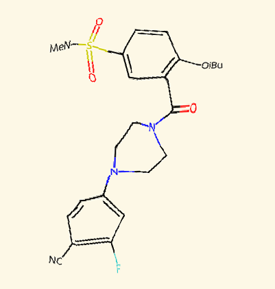 CNS(=O)(=O)c1ccc(OCC(C)C)c(C(=O)N2CCN(c3ccc(C#N)c(F)c3)CC2)c1